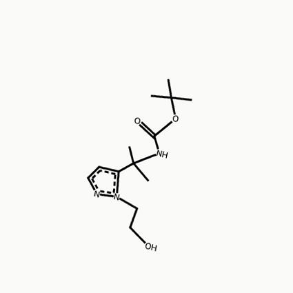 CC(C)(C)OC(=O)NC(C)(C)c1ccnn1CCO